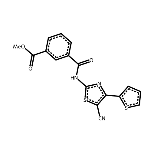 COC(=O)c1cccc(C(=O)Nc2nc(-c3cccs3)c(C#N)s2)c1